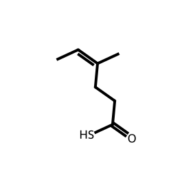 CC=C(C)CCC(=O)S